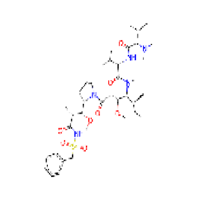 CC[C@H](C)[C@@H]([C@@H](CC(=O)N1CCC[C@H]1[C@H](OC)[C@@H](C)C(=O)NS(=O)(=O)Cc1ccccc1)OC)N(C)C(=O)[C@@H](NC(=O)[C@H](C(C)C)N(C)C)C(C)C